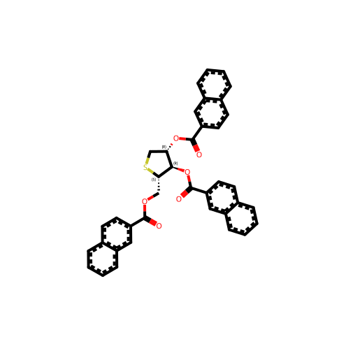 O=C(OC[C@@H]1SC[C@H](OC(=O)c2ccc3ccccc3c2)[C@H]1OC(=O)c1ccc2ccccc2c1)c1ccc2ccccc2c1